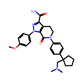 COc1ccc(-n2nc(C(N)=O)c3c2C(=O)N(c2ccc(C4(CN(C)C)CCCC4)cc2)CC3)cc1